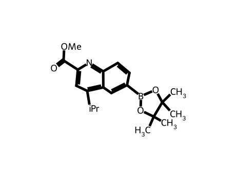 COC(=O)c1cc(C(C)C)c2cc(B3OC(C)(C)C(C)(C)O3)ccc2n1